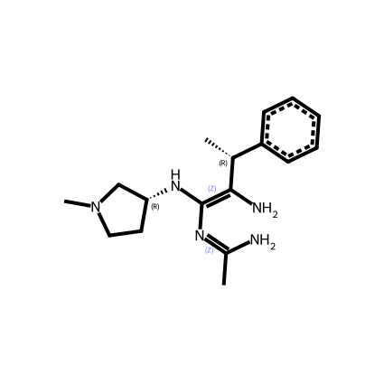 C/C(N)=N/C(N[C@@H]1CCN(C)C1)=C(\N)[C@H](C)c1ccccc1